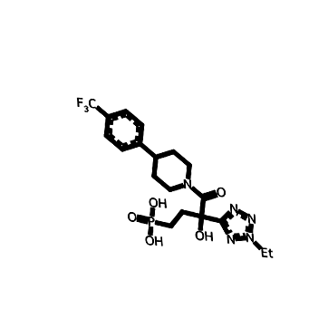 CCn1nnc(C(O)(CCP(=O)(O)O)C(=O)N2CCC(c3ccc(C(F)(F)F)cc3)CC2)n1